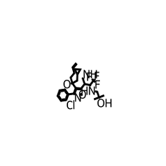 C=CCCC1(CC2CC2)Oc2cccc(Cl)c2-c2noc(C(C=N)C(NCC(C)(C)O)C(F)(F)F)c21